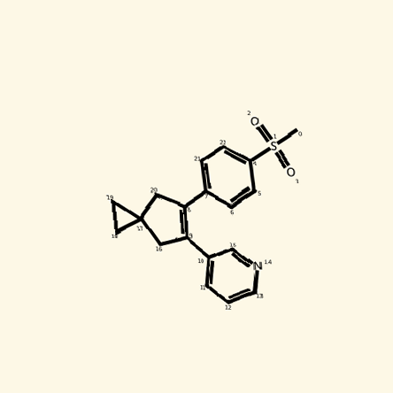 CS(=O)(=O)c1ccc(C2=C(c3cccnc3)CC3(CC3)C2)cc1